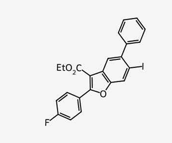 CCOC(=O)c1c(-c2ccc(F)cc2)oc2cc(I)c(-c3ccccc3)cc12